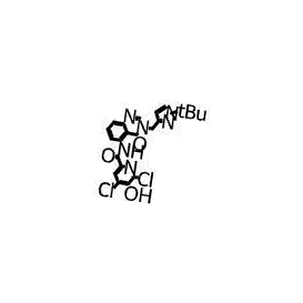 CC(C)(C)n1ccc(Cn2cnc3cccc(NC(=O)c4cc(Cl)c(O)c(Cl)n4)c3c2=O)n1